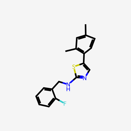 Cc1ccc(-c2cnc(NCc3ccccc3F)s2)c(C)c1